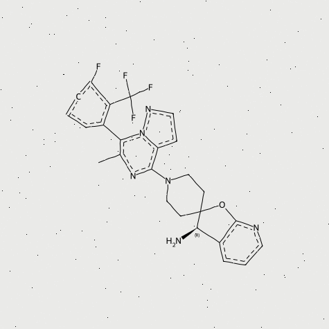 Cc1nc(N2CCC3(CC2)Oc2ncccc2[C@H]3N)c2ccnn2c1-c1cccc(F)c1C(F)(F)F